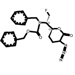 [N-]=[N+]=NC1CC[C@@H]([C@@H](CF)N(Cc2ccccc2)C(=O)OCc2ccccc2)OC1=O